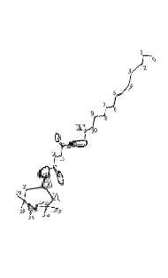 CCCCCCCCCCCCOC(=O)CCC(=O)OC1CC(C)(C)N(C)C(C)(C)C1